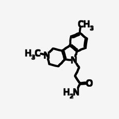 Cc1ccc2c(c1)c1c(n2CCC(N)=O)CCN(C)C1